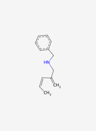 C=C(/C=C\C)CNCc1ccccc1